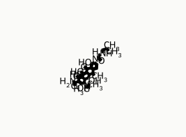 CC(C)CNCC(=O)Nc1ccc2c(c1O)C(=O)C1=C(O)C3(O)C(=O)C(C(N)=O)=C(O)[C@@H](N(C)C)C3C(O)C1C2C